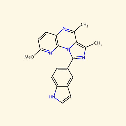 COc1ccc2nc(C)c3c(C)nc(-c4ccc5[nH]ccc5c4)n3c2n1